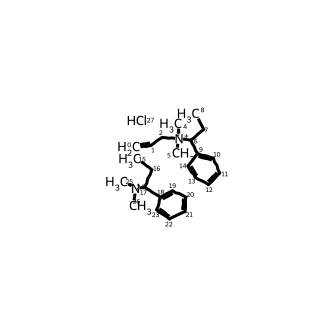 C=CC[N+](C)(C)C(CC)c1ccccc1.CCC(c1ccccc1)N(C)C.Cl